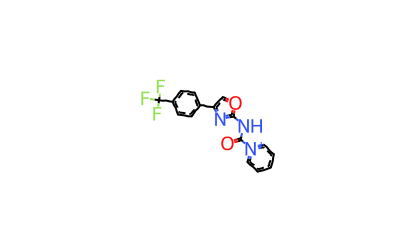 O=C(Nc1nc(-c2ccc(C(F)(F)F)cc2)co1)[n+]1ccccc1